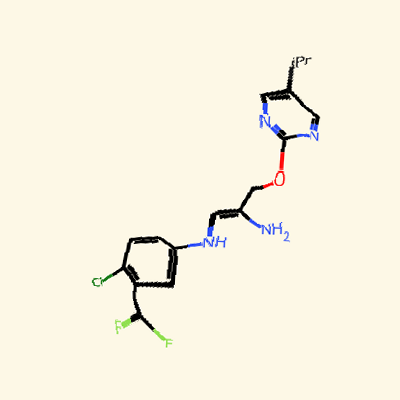 CC(C)c1cnc(OC/C(N)=C/Nc2ccc(Cl)c(C(F)F)c2)nc1